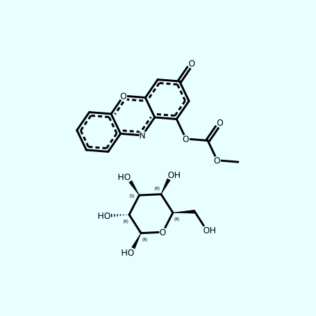 COC(=O)Oc1cc(=O)cc2oc3ccccc3nc1-2.OC[C@H]1O[C@@H](O)[C@H](O)[C@@H](O)[C@H]1O